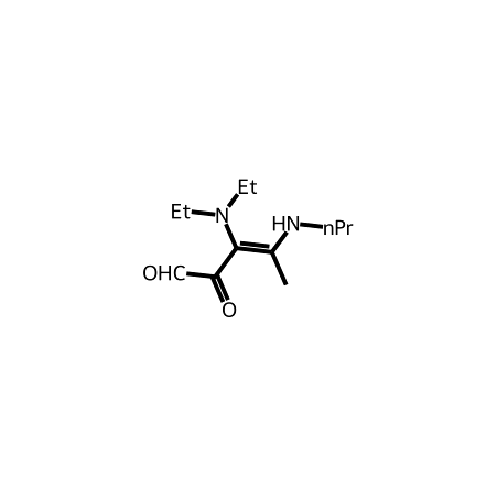 CCCN/C(C)=C(/C(=O)C=O)N(CC)CC